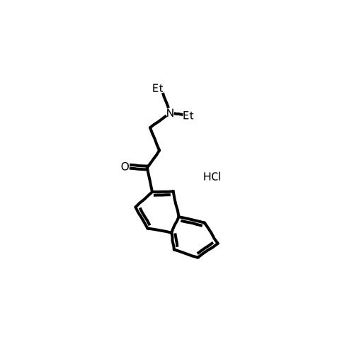 CCN(CC)CCC(=O)c1ccc2ccccc2c1.Cl